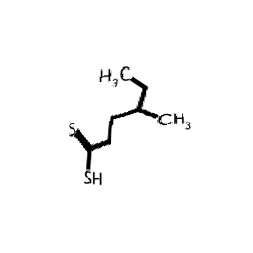 CCC(C)CCC(=S)S